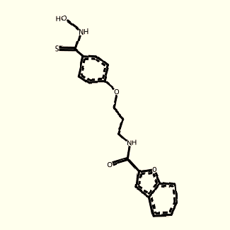 O=C(NCCCOc1ccc(C(=S)NO)cc1)c1cc2ccccc2o1